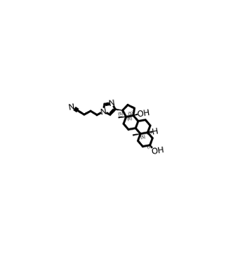 C[C@]12CC[C@H](O)C[C@H]1CCC1C2CC[C@]2(C)[C@@H](c3cn(CCCC#N)cn3)CC[C@]12O